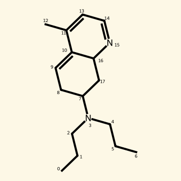 CCCN(CCC)C1CC=C2C(C)=CC=NC2C1